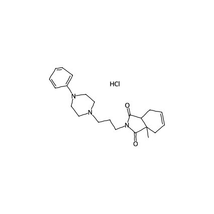 CC12CC=CCC1C(=O)N(CCCN1CCN(c3ccccc3)CC1)C2=O.Cl